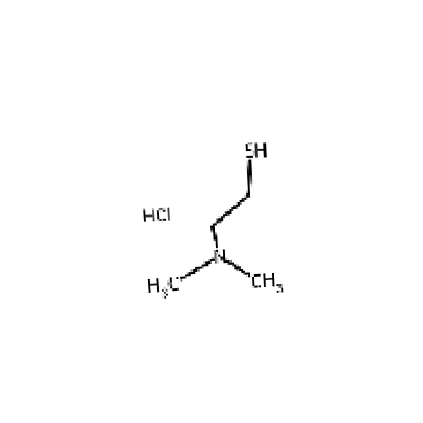 CN(C)CCS.Cl